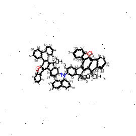 CC1(C)c2cc(N(c3ccc4c(c3)C(C)(C)c3c5c(c6oc7ccccc7c6c3-4)-c3ccccc3C5(C)C)c3cccc4ccccc34)ccc2-c2c1cc(-c1ccccc1-c1ccccc1)c1oc3ccccc3c21